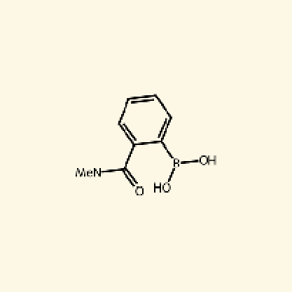 CNC(=O)c1ccccc1B(O)O